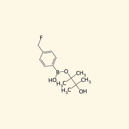 CC(C)(O)C(C)(C)OB(O)c1ccc(CF)cc1